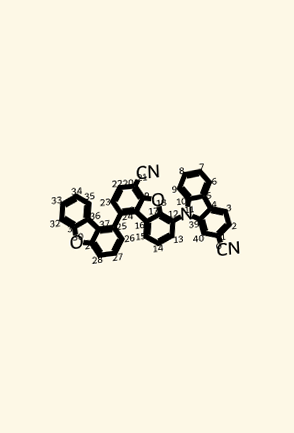 N#Cc1ccc2c3ccccc3n(-c3cccc4c3oc3c(C#N)ccc(-c5cccc6oc7ccccc7c56)c34)c2c1